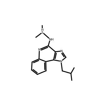 CC(C)Cn1cnc2c(N[SH](C)C)nc3ccccc3c21